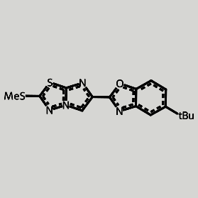 CSc1nn2cc(-c3nc4cc(C(C)(C)C)ccc4o3)nc2s1